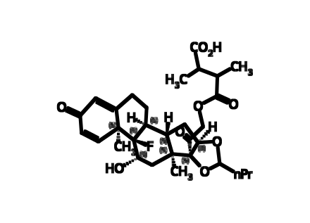 CCCC1O[C@@H]2C[C@H]3[C@@H]4CCC5=CC(=O)C=C[C@]5(C)[C@@]4(F)[C@@H](O)C[C@]3(C)[C@]2(C(=O)COC(=O)C(C)C(C)C(=O)O)O1